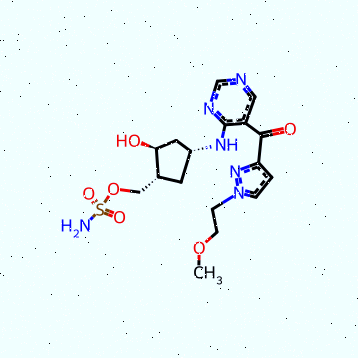 COCCn1ccc(C(=O)c2cncnc2N[C@@H]2C[C@H](COS(N)(=O)=O)[C@@H](O)C2)n1